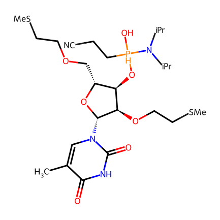 CSCCOC[C@H]1O[C@@H](n2cc(C)c(=O)[nH]c2=O)[C@H](OCCSC)[C@@H]1O[PH](O)(CCC#N)N(C(C)C)C(C)C